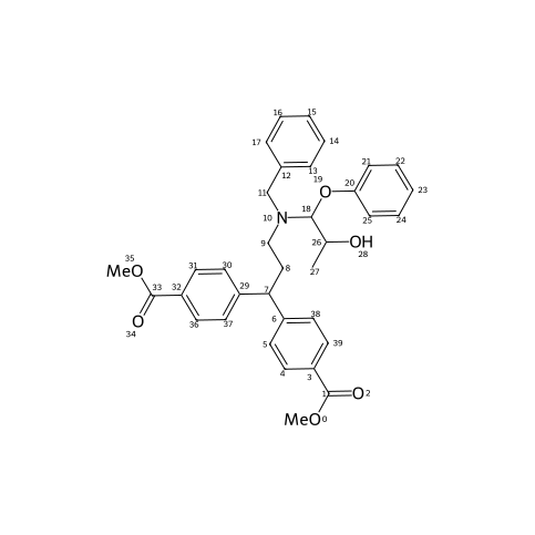 COC(=O)c1ccc(C(CCN(Cc2ccccc2)C(Oc2ccccc2)C(C)O)c2ccc(C(=O)OC)cc2)cc1